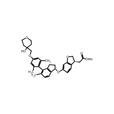 COC(=O)C[C@@H]1COc2cc(O[C@@H]3CCc4c3ccc(C(F)(F)F)c4-c3c(C)cc(OCC4(O)CCOCC4)cc3C)ccc21